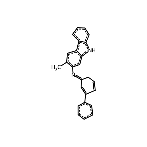 Cc1cc2c(cc1/N=C1/C=C(c3ccccc3)C=CC1)[nH]c1ccccc12